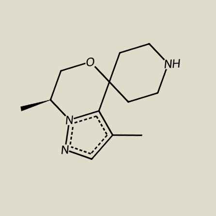 Cc1cnn2c1C1(CCNCC1)OC[C@@H]2C